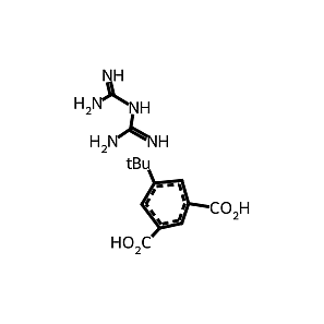 CC(C)(C)c1cc(C(=O)O)cc(C(=O)O)c1.N=C(N)NC(=N)N